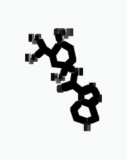 CC1(NC(=O)c2nnc3n2CCNC3)CCN(C(=O)O)C(C(C(F)(F)F)C(F)(F)F)C1